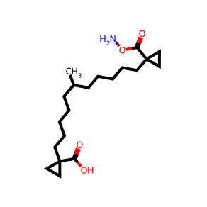 CC(CCCCCC1(C(=O)O)CC1)CCCCCC1(C(=O)ON)CC1